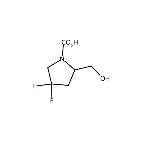 O=C(O)N1CC(F)(F)CC1CO